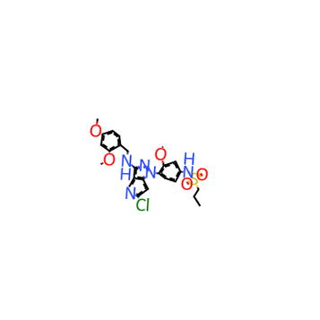 CCCS(=O)(=O)Nc1ccc(-n2nc(NCc3ccc(OC)cc3OC)c3cnc(Cl)cc32)c(OC)c1